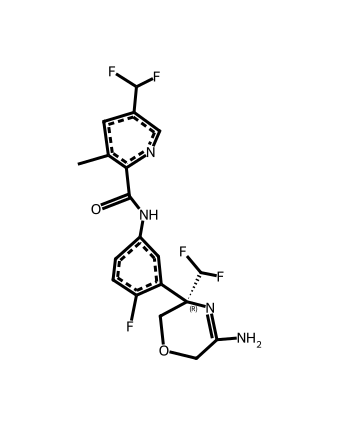 Cc1cc(C(F)F)cnc1C(=O)Nc1ccc(F)c([C@]2(C(F)F)COCC(N)=N2)c1